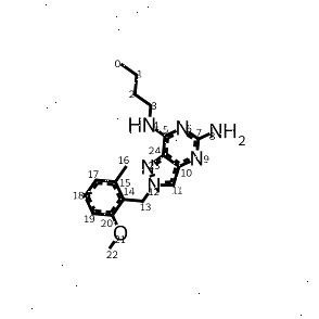 CCCCNc1nc(N)nc2cn(Cc3c(C)cccc3OC)nc12